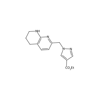 CCOC(=O)c1cnn(Cc2ccc3c(n2)NCCC3)c1